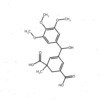 COc1cc(C(O)C2=CC(C)(C(=O)O)CC(C(=O)O)=C2)cc(OC)c1OC